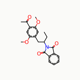 CCC(Cc1cc(OC)c(C(C)=O)cc1OC)N1C(=O)c2ccccc2C1=O